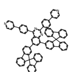 c1ccc2c(c1)-c1ccccc1C21c2ccccc2-c2ccc(-c3cc(-c4ccc5c(c4)C4(c6ccccc6-c6ccccc64)c4ccccc4-5)c4nc(-c5ccc(-c6ccncc6)cc5)nc(-c5ccc(-c6ccncc6)cc5)c4c3)cc21